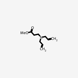 C=CCN(CC=C)CCC(=O)OC